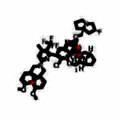 COc1ccc(CN(Cc2ccc(OC)cc2)c2cc(C)c(C(F)(F)F)c(-c3c(Cl)c4c5c(nc(OC[C@@]67CCCN6C[C@H](F)C7)nc5c3F)N3C[C@H]5CC[C@@H]([C@H]3[C@H](C)O4)N5C(=O)OC(C)(C)C)n2)cc1